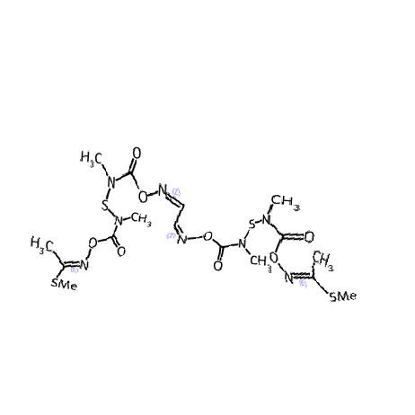 CS/C(C)=N/OC(=O)N(C)SN(C)C(=O)O/N=C\C=N/OC(=O)N(C)SN(C)C(=O)O/N=C(\C)SC